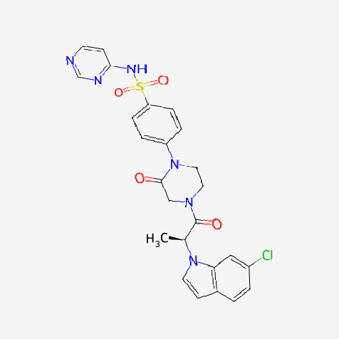 C[C@@H](C(=O)N1CCN(c2ccc(S(=O)(=O)Nc3ccncn3)cc2)C(=O)C1)n1ccc2ccc(Cl)cc21